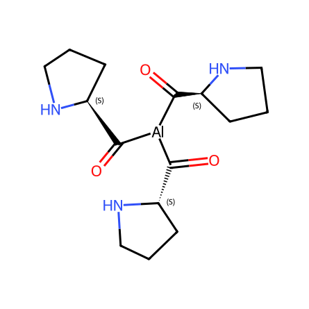 O=[C]([C@@H]1CCCN1)[Al]([C](=O)[C@@H]1CCCN1)[C](=O)[C@@H]1CCCN1